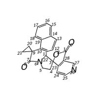 O=C1OC2(CCN(C(=O)C3(c4cccc5ccccc45)CC3)C2)c2ccncc21